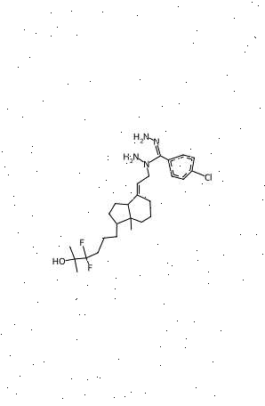 CC12CCC/C(=C\CN(N)/C(=N\N)c3ccc(Cl)cc3)C1CCC2CCCC(F)(F)C(C)(C)O